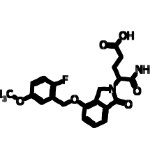 COc1ccc(F)c(COc2cccc3c2CN(C(CCC(=O)O)C(N)=O)C3=O)c1